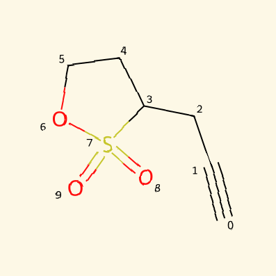 C#CCC1CCOS1(=O)=O